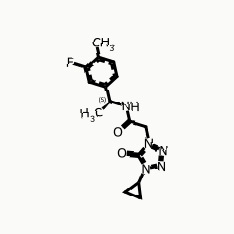 Cc1ccc([C@H](C)NC(=O)Cn2nnn(C3CC3)c2=O)cc1F